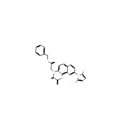 Cc1ccc(C)n1-c1ccc2ccc3c([nH]c(=O)c(=O)n3CC(=O)NCc3ccccc3)c2c1